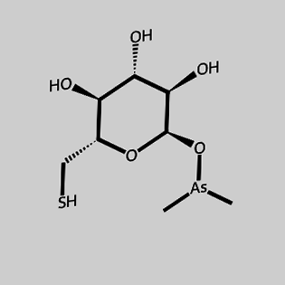 C[As](C)O[C@H]1O[C@H](CS)[C@@H](O)[C@H](O)[C@H]1O